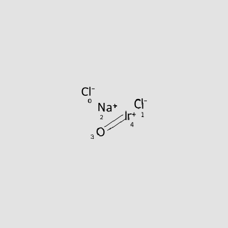 [Cl-].[Cl-].[Na+].[O]=[Ir+]